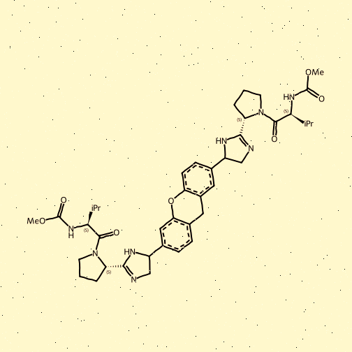 COC(=O)N[C@H](C(=O)N1CCC[C@H]1C1=NCC(c2ccc3c(c2)Cc2ccc(C4CN=C([C@@H]5CCCN5C(=O)[C@@H](NC(=O)OC)C(C)C)N4)cc2O3)N1)C(C)C